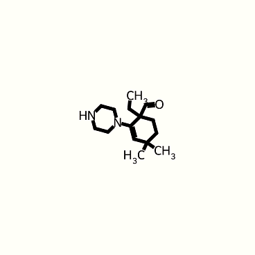 CCC1(C=O)CCC(C)(C)C=C1N1CCNCC1